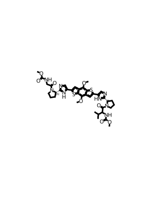 COC(=O)NCC(=O)N1CCC[C@H]1c1ncc(-c2cc3c(OC)c4sc(-c5cnc([C@@H]6CCCN6C(=O)C(NC(=O)OC)C(C)C)[nH]5)cc4c(OC)c3s2)[nH]1